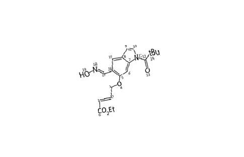 CCOC(=O)C=CCOc1cc2c(ccn2C(=O)C(C)(C)C)cc1C=NO